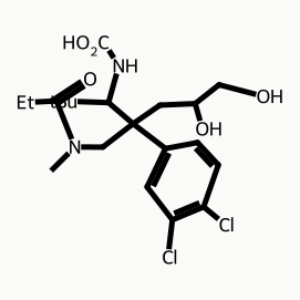 CCC(=O)N(C)CC(CC(O)CO)(c1ccc(Cl)c(Cl)c1)C(NC(=O)O)C(C)(C)C